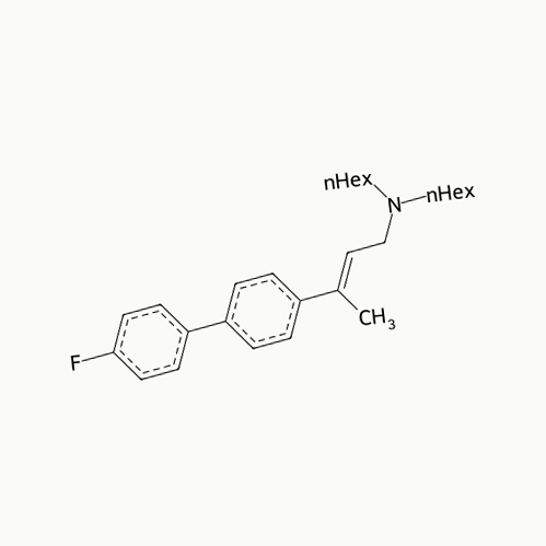 CCCCCCN(CC=C(C)c1ccc(-c2ccc(F)cc2)cc1)CCCCCC